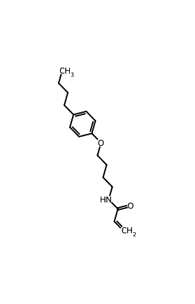 C=CC(=O)NCCCCOc1ccc(CCCC)cc1